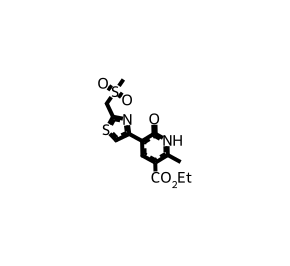 CCOC(=O)c1cc(-c2csc(CS(C)(=O)=O)n2)c(=O)[nH]c1C